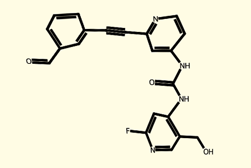 O=Cc1cccc(C#Cc2cc(NC(=O)Nc3cc(F)ncc3CO)ccn2)c1